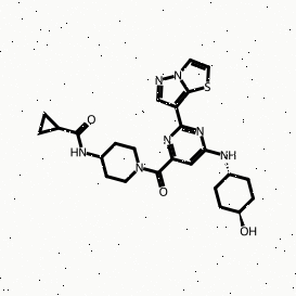 O=C(NC1CCN(C(=O)c2cc(N[C@H]3CC[C@H](O)CC3)nc(-c3cnn4ccsc34)n2)CC1)C1CC1